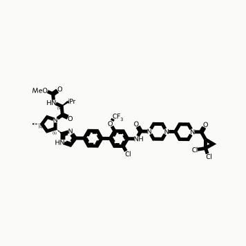 COC(=O)N[C@H](C(=O)N1C[C@@H](C)C[C@H]1c1nc(-c2ccc(-c3cc(Cl)c(NC(=O)N4CCN(C5CCN(C(=O)C6CC6(Cl)Cl)CC5)CC4)cc3OC(F)(F)F)cc2)c[nH]1)C(C)C